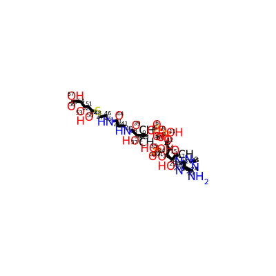 CC(C)(COP(=O)(O)OP(=O)(O)OCC1OC(C)(n2cnc3c(N)ncnc32)C(O)C1OP(=O)(O)O)C(O)C(=O)NCCC(=O)NCCSC(=O)CC(O)CC(=O)O